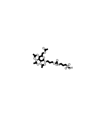 CC(=O)OCC1O[C@@H](OCCCOC(=O)NCCCS(=O)(=O)O)[C@H](OC(C)=O)[C@@H](OC(C)=O)[C@@H]1OC(C)=O